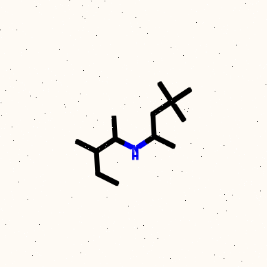 CCC(C)C(C)NC(C)CC(C)(C)C